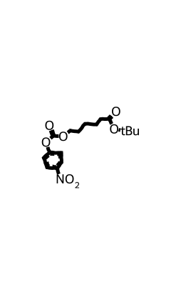 CC(C)(C)OC(=O)CCCCCOC(=O)Oc1ccc([N+](=O)[O-])cc1